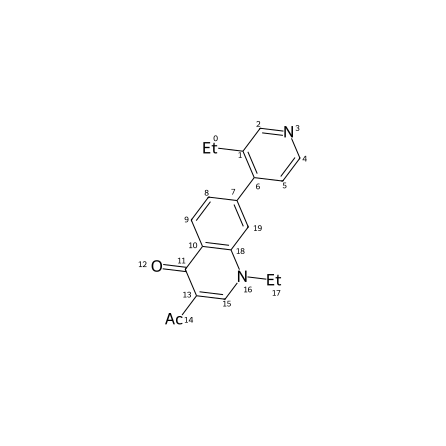 CCc1cnccc1-c1ccc2c(=O)c(C(C)=O)cn(CC)c2c1